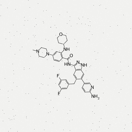 CN1CCN(c2ccc(C(=O)Nc3n[nH]c4cc(-c5ccc(N)nc5)c(Cc5cc(F)cc(F)c5)cc34)c(NC3CCOCC3)c2)CC1